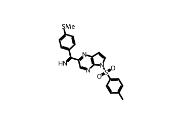 CSc1ccc(C(=N)c2cnc3c(ccn3S(=O)(=O)c3ccc(C)cc3)n2)cc1